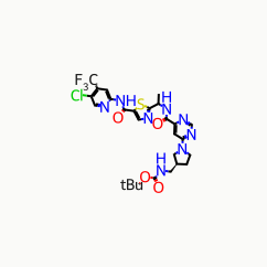 CC(NC(=O)c1cc(N2CC[C@@H](CNC(=O)OC(C)(C)C)C2)ncn1)c1ncc(C(=O)Nc2cc(C(F)(F)F)c(Cl)cn2)s1